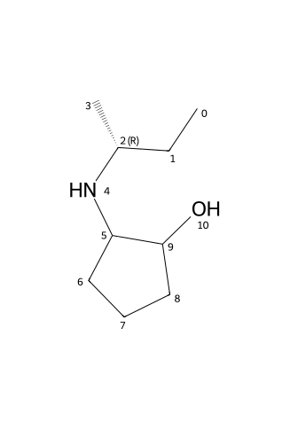 CC[C@@H](C)NC1CCCC1O